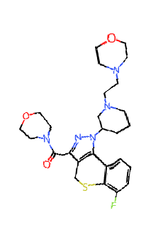 O=C(c1nn(C2CCCN(CCN3CCOCC3)C2)c2c1CSc1c(F)cccc1-2)N1CCOCC1